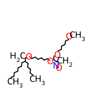 C=C(OCCCCCCOC(COCCCCCCOC)C(=C)N=O)C(CCCCCC)CCCCCCCC